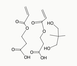 C=CC(=O)OCCC(=O)O.C=CC(=O)OCCC(=O)O.CC(C)(CO)CO